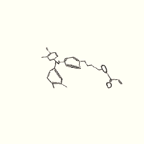 C=CC(=O)OCCCCc1ccc(N(c2ccc(C)c(C)c2)c2ccc(C)c(C)c2)cc1